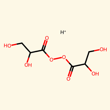 O=C(OOC(=O)C(O)CO)C(O)CO.[H+]